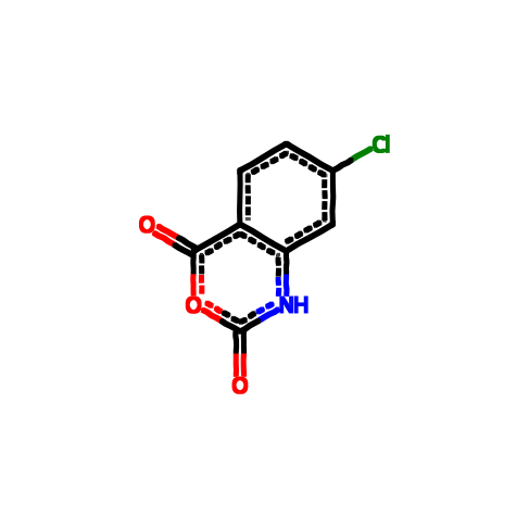 O=c1[nH]c2cc(Cl)ccc2c(=O)o1